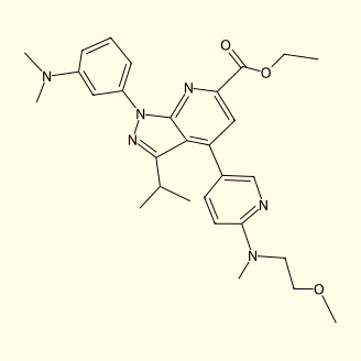 CCOC(=O)c1cc(-c2ccc(N(C)CCOC)nc2)c2c(C(C)C)nn(-c3cccc(N(C)C)c3)c2n1